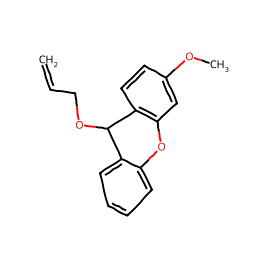 C=CCOC1c2ccccc2Oc2cc(OC)ccc21